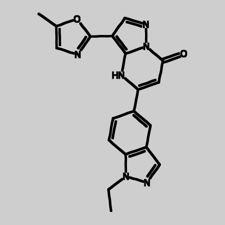 CCn1ncc2cc(-c3cc(=O)n4ncc(-c5ncc(C)o5)c4[nH]3)ccc21